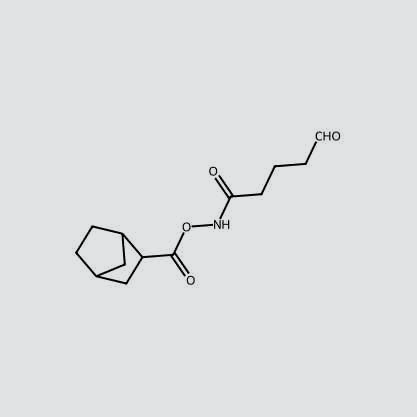 O=CCCCC(=O)NOC(=O)C1CC2CCC1C2